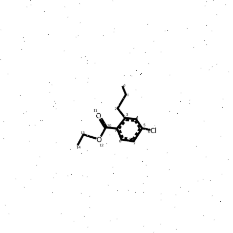 CCCc1cc(Cl)ccc1C(=O)OCC